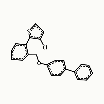 Clc1ccsc1-c1ccccc1COc1ccc(-c2[c]cccc2)cc1